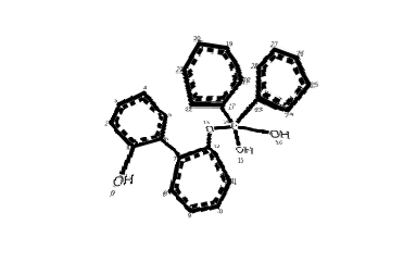 Oc1ccccc1-c1ccccc1OP(O)(O)(c1ccccc1)c1ccccc1